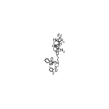 C[C@]12CCC(F)(F)C[C@@H]1CC[C@@H]1[C@@H]2CC[C@]2(C)[C@@H](OCCCCN3CCN(C(=O)c4cc(Cc5n[nH]c(=O)c6ccccc56)ccc4F)CC3)CC[C@@H]12